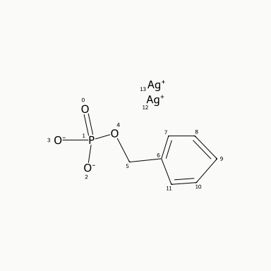 O=P([O-])([O-])OCc1ccccc1.[Ag+].[Ag+]